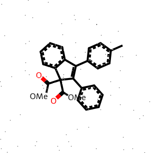 COC(=O)C1(C(=O)OC)C(c2ccccc2)=C(c2ccc(C)cc2)c2ccccc21